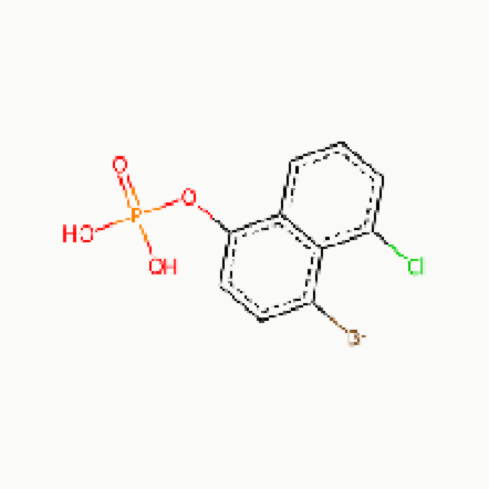 O=P(O)(O)Oc1ccc(Br)c2c(Cl)cccc12